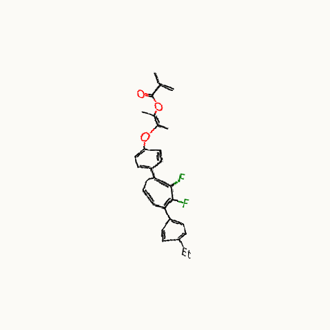 C=C(C)C(=O)O/C(C)=C(\C)Oc1ccc(-c2ccc(-c3ccc(CC)cc3)c(F)c2F)cc1